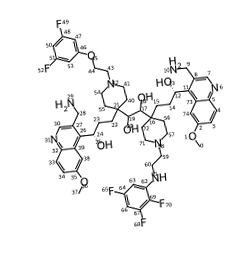 COc1ccc2ncc(CN)c([C@@H](O)CCC3(C(O)C(O)C4(CC[C@H](O)c5c(CN)cnc6ccc(OC)cc56)CCN(CCOc5cc(F)cc(F)c5)CC4)CCN(CCNc4cc(F)cc(F)c4F)CC3)c2c1